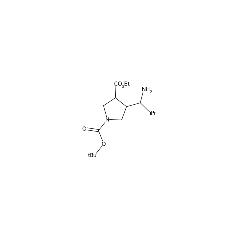 CCOC(=O)C1CN(C(=O)OC(C)(C)C)CC1C(N)C(C)C